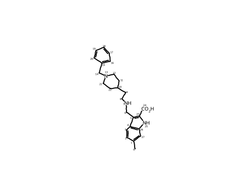 Cc1ccc2c(CNCCC3CCN(Cc4ccccc4)CC3)c(C(=O)O)[nH]c2c1